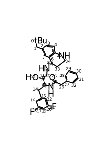 CC(C)(C)Cc1ccc2c(c1)[C@@H](NC[C@H](O)[C@H](Cc1cc(F)cc(F)c1)NC(=O)Cc1ccccc1)CCN2